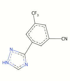 N#Cc1cc(-c2nc[nH]n2)cc(C(F)(F)F)c1